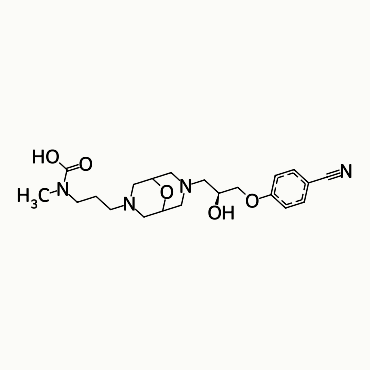 CN(CCCN1CC2CN(C[C@H](O)COc3ccc(C#N)cc3)CC(C1)O2)C(=O)O